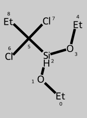 CCO[SiH](OCC)C(Cl)(Cl)CC